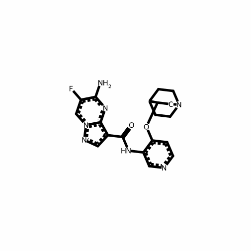 Nc1nc2c(C(=O)Nc3cnccc3OC3CN4CCC3CC4)cnn2cc1F